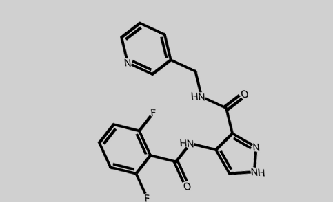 O=C(NCc1cccnc1)c1n[nH]cc1NC(=O)c1c(F)cccc1F